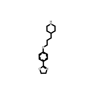 c1cc(C2=NCCO2)ccc1OCCCC1CCNCC1